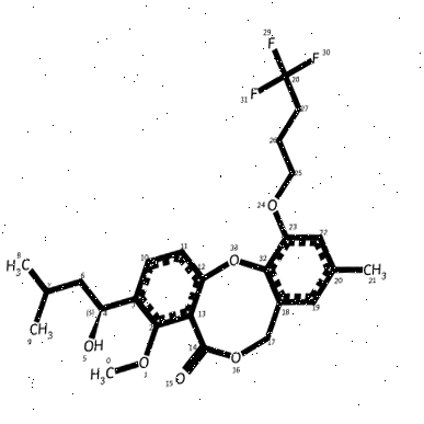 COc1c([C@@H](O)CC(C)C)ccc2c1C(=O)OCc1cc(C)cc(OCCCC(F)(F)F)c1O2